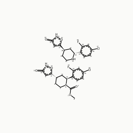 COC(=O)N1CC[C@H](c2cc(=O)[nH]o2)C[C@H]1c1ccc(Cl)cc1F.O=c1cc([C@@H]2CCN[C@@H](c3ccc(Cl)cc3F)C2)o[nH]1